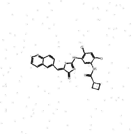 O=C1N=C(Nc2cc(NC(=O)C3CCC3)c(Cl)cc2Cl)S/C1=C\c1ccc2ncccc2c1